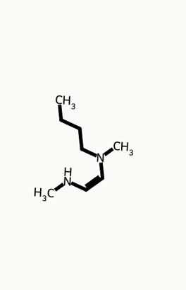 CCCCN(C)/C=C\NC